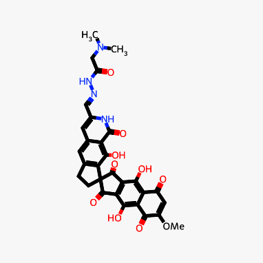 COC1=CC(=O)c2c(O)c3c(c(O)c2C1=O)C(=O)C1(CCc2cc4cc(C=NNC(=O)CN(C)C)[nH]c(=O)c4c(O)c21)C3=O